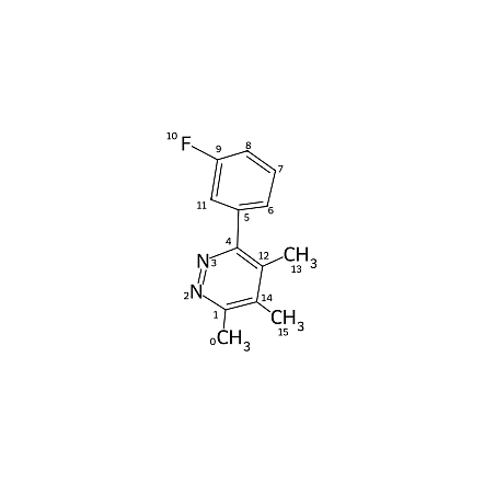 Cc1nnc(-c2cccc(F)c2)c(C)c1C